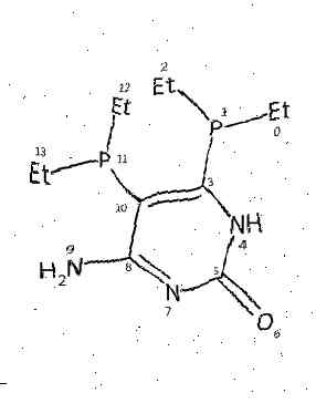 CCP(CC)c1[nH]c(=O)nc(N)c1P(CC)CC